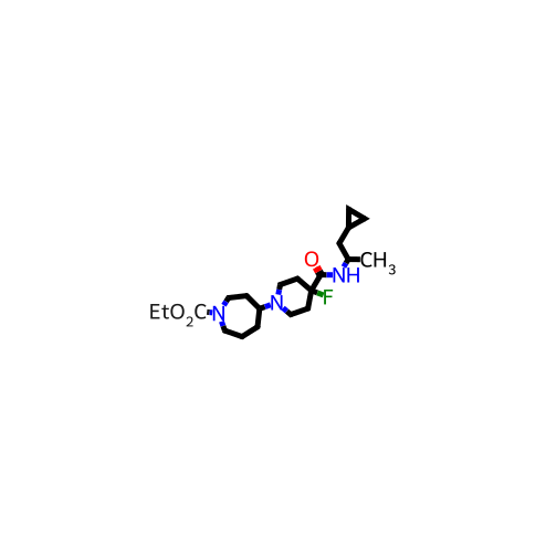 CCOC(=O)N1CCCC(N2CCC(F)(C(=O)NC(C)CC3CC3)CC2)CC1